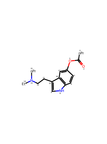 CCCC(=O)Oc1ccc2[nH]cc(CCN(CC)CCC)c2c1